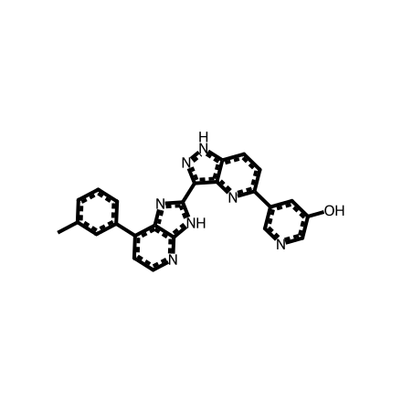 Cc1cccc(-c2ccnc3[nH]c(-c4n[nH]c5ccc(-c6cncc(O)c6)nc45)nc23)c1